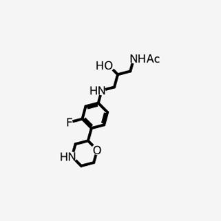 CC(=O)NCC(O)CNc1ccc(C2CNCCO2)c(F)c1